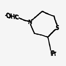 CC(C)C1CN([C]=O)CCS1